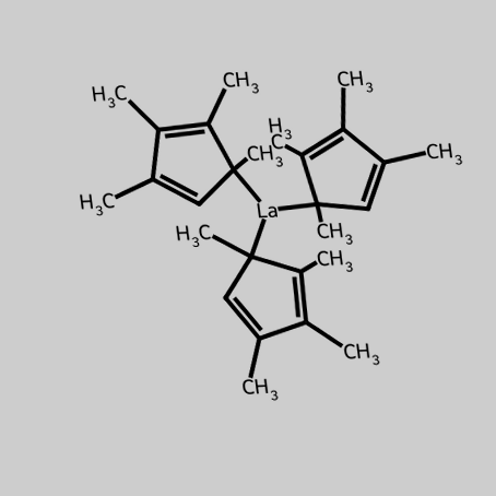 CC1=C[C](C)([La]([C]2(C)C=C(C)C(C)=C2C)[C]2(C)C=C(C)C(C)=C2C)C(C)=C1C